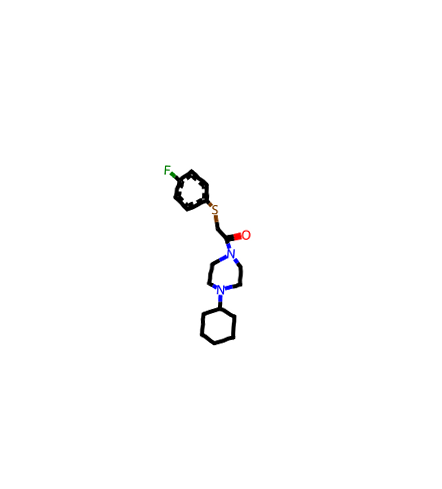 O=C(CSc1ccc(F)cc1)N1CCN(C2CCCCC2)CC1